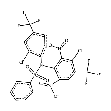 O=[N+]([O-])c1cc(C(F)(F)F)c(Cl)c([N+](=O)[O-])c1N(c1ncc(C(F)(F)F)cc1Cl)S(=O)(=O)c1ccccc1